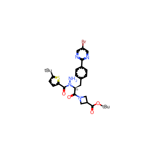 CC(C)(C)OC(=O)C1CN(C(=O)[C@H](Cc2ccc(-c3ncc(Br)cn3)cc2)N(N)C(=O)c2ccc(C(C)(C)C)s2)C1